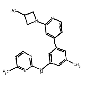 Cc1cc(Nc2nccc(C(F)(F)F)n2)cc(-c2ccnc(N3CC(O)C3)c2)c1